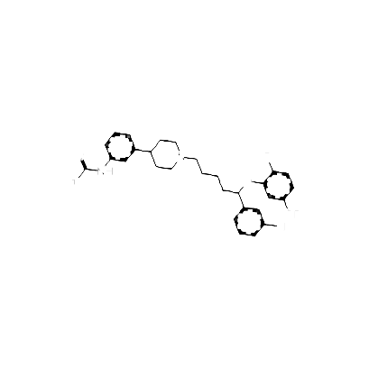 CC(C)C(=O)Nc1cccc(C2CCN(CCCCC(Oc3cc(C(F)(F)F)ccc3F)c3cccc(Cl)c3)CC2)c1